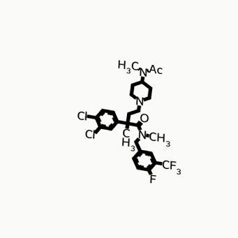 CC(=O)N(C)C1CCN(CCC(C)(C(=O)N(C)Cc2ccc(F)c(C(F)(F)F)c2)c2ccc(Cl)c(Cl)c2)CC1